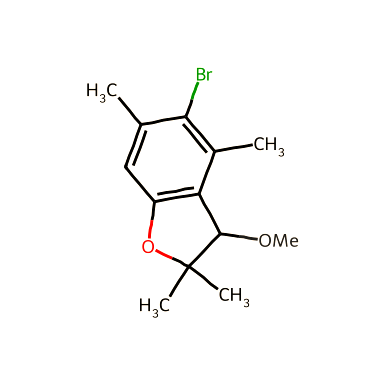 COC1c2c(cc(C)c(Br)c2C)OC1(C)C